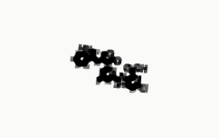 Cc1cc([C@H]2C(=O)OCC2Cc2c[nH]c3ccccc23)nc([C@@H](C)Nc2ccc(Cl)nc2C(=O)O)c1